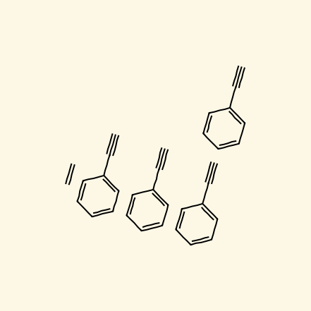 C#Cc1ccccc1.C#Cc1ccccc1.C#Cc1ccccc1.C#Cc1ccccc1.C=C